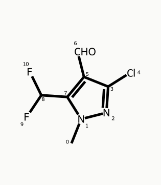 Cn1nc(Cl)c(C=O)c1C(F)F